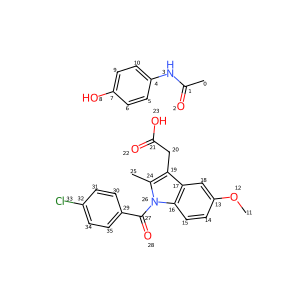 CC(=O)Nc1ccc(O)cc1.COc1ccc2c(c1)c(CC(=O)O)c(C)n2C(=O)c1ccc(Cl)cc1